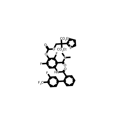 CCOC(=O)C(COC(=O)Oc1c(F)cc(NC(=O)c2ccccc2-c2ccc(C(F)(F)F)c(F)c2)c(C(=O)N(C)C)c1F)(C(=O)OCC)c1cccs1